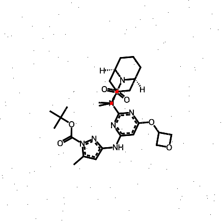 CCS(=O)(=O)N1[C@@H]2CCC[C@H]1C[C@@H](N(C)c1nc(Nc3cc(C)n(C(=O)OC(C)(C)C)n3)cc(OC3COC3)n1)C2